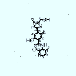 Cc1ccnc(Cl)c1NC(=O)c1cc(F)c(-c2cn(C)c(CO)n2)cc1O